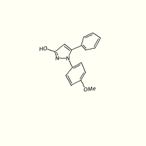 COc1ccc(-n2nc(O)cc2-c2ccccc2)cc1